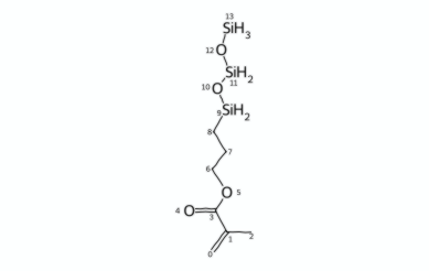 C=C(C)C(=O)OCCC[SiH2]O[SiH2]O[SiH3]